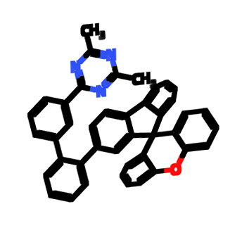 Cc1nc(C)nc(-c2cccc(-c3ccccc3-c3ccc4c(c3)C3(c5ccccc5Oc5ccccc53)c3ccccc3-4)c2)n1